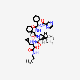 CCCNC(=O)C(=O)C(CC1CC1)NC(=O)[C@@H]1[C@@H]2[C@H](CN1C(=O)[C@@H](NC(=O)[C@@H](NC(=O)c1cnccn1)C1CCCCC1)C1(C)CCCCC1)C2(C)C